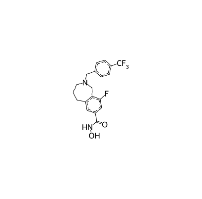 O=C(NO)c1cc(F)c2c(c1)CCCN(Cc1ccc(C(F)(F)F)cc1)C2